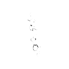 C=CC1CCC(c2ccc(CCc3ccc(-c4ccc(OCC)c(F)c4)cc3)c(F)c2F)CC1